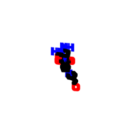 N=C1CCC(N2C(=O)c3ccc(N4CCC(CC=O)CC4)cc3C2=O)C(=O)N1